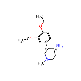 CCOc1ccc([C@H]2CN(C)CC[C@H]2N)cc1OCC